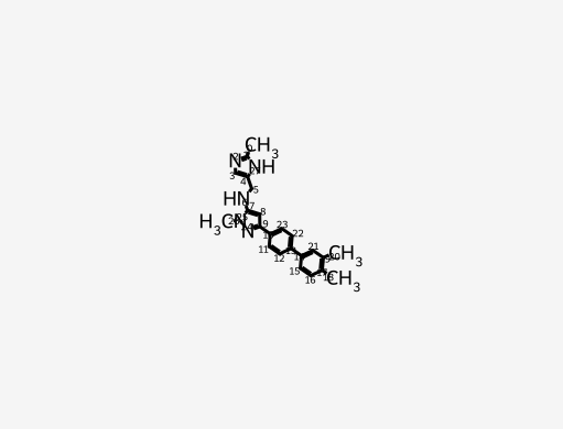 Cc1ncc(CNc2cc(-c3ccc(-c4ccc(C)c(C)c4)cc3)nn2C)[nH]1